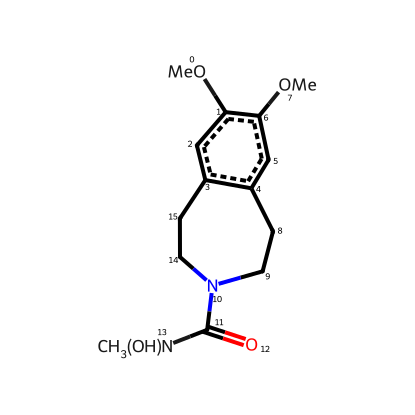 COc1cc2c(cc1OC)CCN(C(=O)N(C)O)CC2